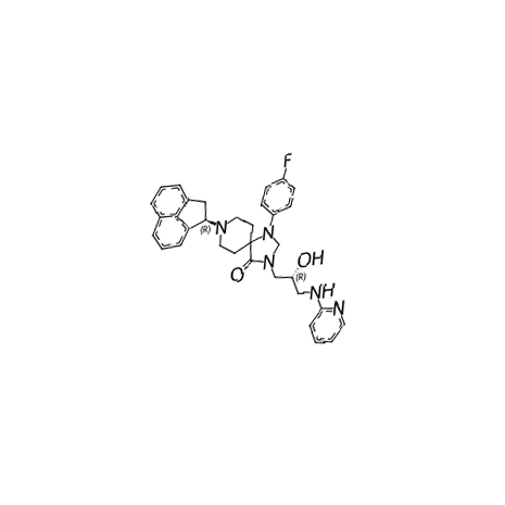 O=C1N(C[C@H](O)CNc2ccccn2)CN(c2ccc(F)cc2)C12CCN([C@@H]1Cc3cccc4cccc1c34)CC2